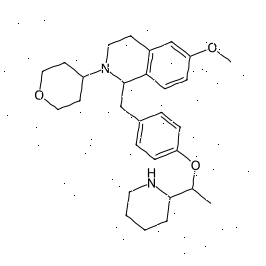 COc1ccc2c(c1)CCN(C1CCOCC1)C2Cc1ccc(OC(C)C2CCCCN2)cc1